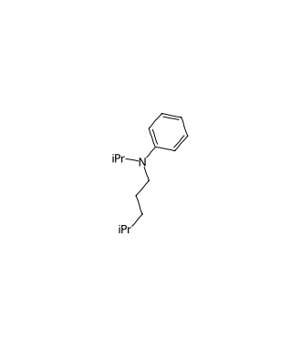 CC(C)CCCN(c1ccccc1)C(C)C